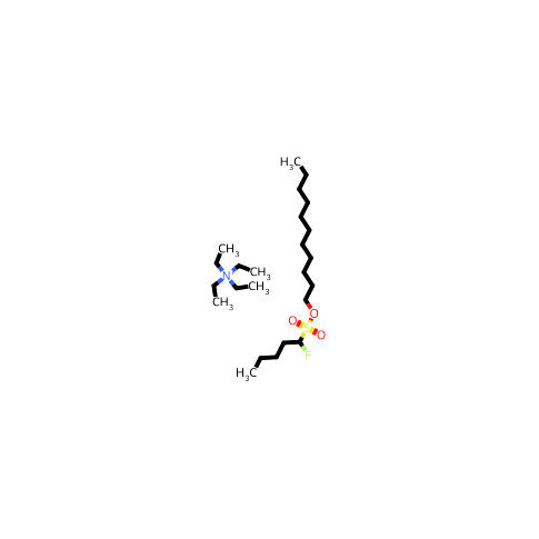 CCCCCCCCCCCOS(=O)(=O)C(F)CCCC.CC[N+](CC)(CC)CC